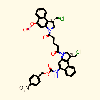 O=POc1cc2c(c3ccccc13)[C@H](CCl)CN2C(=O)CCCC(=O)N1C[C@@H](CCl)c2c1cc(NC(=O)OCc1ccc([N+](=O)[O-])cc1)c1ccccc21